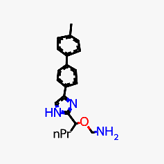 CCCC(OCN)c1nc(-c2ccc(-c3ccc(C)cc3)cc2)c[nH]1